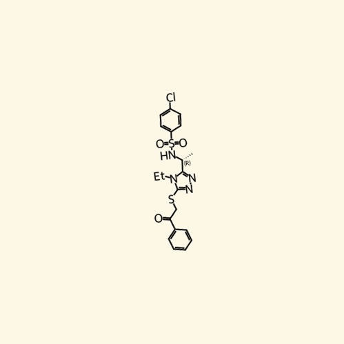 CCn1c(SCC(=O)c2ccccc2)nnc1[C@@H](C)NS(=O)(=O)c1ccc(Cl)cc1